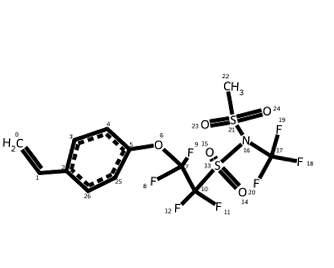 C=Cc1ccc(OC(F)(F)C(F)(F)S(=O)(=O)N(C(F)(F)F)S(C)(=O)=O)cc1